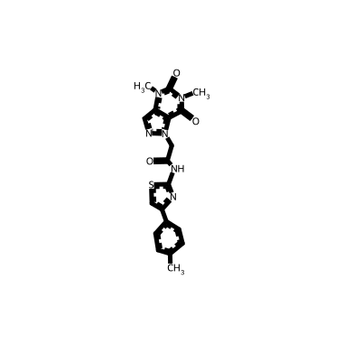 Cc1ccc(-c2csc(NC(=O)Cn3ncc4c3c(=O)n(C)c(=O)n4C)n2)cc1